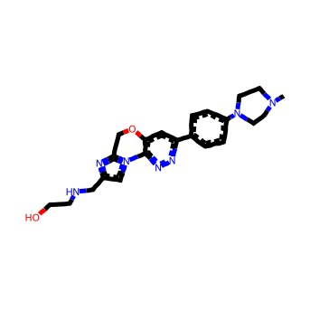 CN1CCN(c2ccc(-c3cc4c(nn3)-n3cc(CNCCO)nc3CO4)cc2)CC1